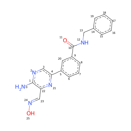 Nc1ncc(-c2cccc(C(=O)NCc3ccccc3)c2)nc1C=NO